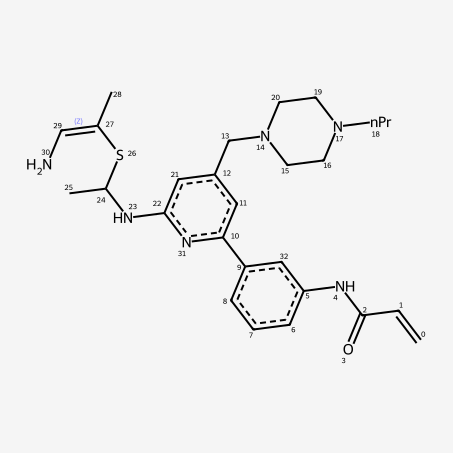 C=CC(=O)Nc1cccc(-c2cc(CN3CCN(CCC)CC3)cc(NC(C)S/C(C)=C\N)n2)c1